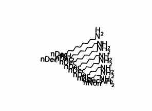 CCCCCCCCCCCCCCCCCCN.CCCCCCCCCCCCCCCCCN.CCCCCCCCCCCCCCCCN.CCCCCCCCCCCCCCCN.CCCCCCCCCCCCCCN.CCCCCCCCCCCCCN.CCCCCCCCCCCCN.CCCCCCCCCCCN.CCCCCCCCCCN.CCCCCCCCCN